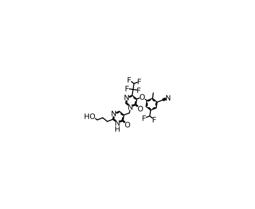 Cc1c(C#N)cc(C(F)F)cc1Oc1c(C(F)(F)C(F)F)ncn(Cc2cnc(CCCO)[nH]c2=O)c1=O